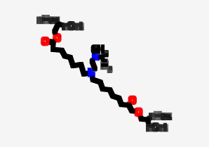 CCCCCCCCC(CCCCCC)COCC(=O)CCCCCCCN(CCCCCCCC(=O)OCC(CCCCCC)CCCCCCCC)CCN(C)C